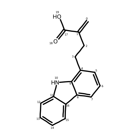 C=C(CCc1cccc2c1[nH]c1ccccc12)C(=O)O